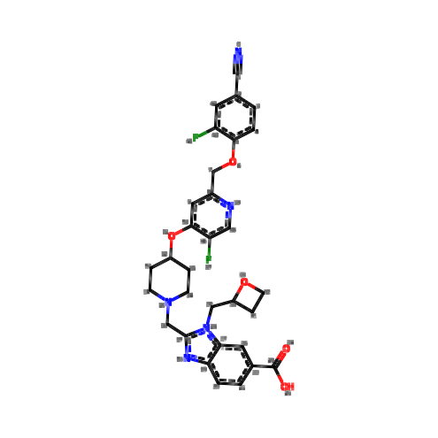 N#Cc1ccc(OCc2cc(OC3CCN(Cc4nc5ccc(C(=O)O)cc5n4CC4CCO4)CC3)c(F)cn2)c(F)c1